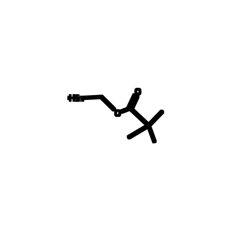 CC(C)(C)C(=O)O[CH2][SnH]